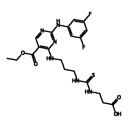 CCOC(=O)c1cnc(Nc2cc(F)cc(F)c2)nc1NCCCNC(=S)NCCC(=O)O